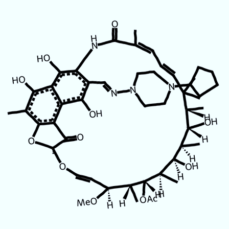 CO[C@H]1/C=C/O[C@@]2(C)Oc3c(C)c(O)c4c(O)c(c(/C=N/N5CCN(C6CCCC6)CC5)c(O)c4c3C2=O)NC(=O)/C(C)=C\C=C\C(C)(C)[C@H](C)[C@H](O)[C@@H](C)[C@@H](O)[C@@H](C)[C@H](OC(C)=O)[C@@H]1C